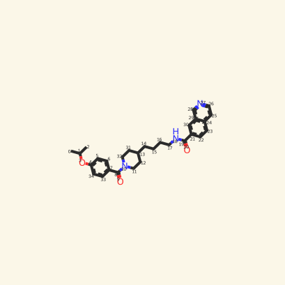 CC(C)Oc1ccc(C(=O)N2CCC(CCCCNC(=O)c3ccc4ccncc4c3)CC2)cc1